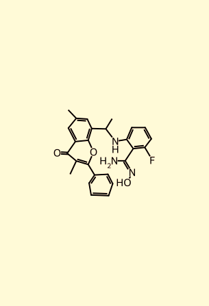 Cc1cc(C(C)Nc2cccc(F)c2C(N)=NO)c2oc(-c3ccccc3)c(C)c(=O)c2c1